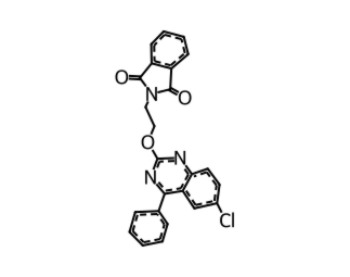 O=C1c2ccccc2C(=O)N1CCOc1nc(-c2ccccc2)c2cc(Cl)ccc2n1